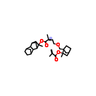 C=C(C)C(=O)OC1(C)CC2CCC1(COC/C=C(/C)C(=O)OC1(C)CC3CC1C1C4CCC(C4)C31)C2